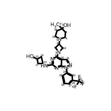 CC1(O)CCN(C2CN(c3nc(NC4CC(O)C4)nc4c3cnn4-c3cccc(C(F)(F)F)c3)C2)CC1